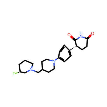 O=C1CC[C@H](c2ccc(N3CCC(CN4CCC[C@H](F)C4)CC3)cc2)C(=O)N1